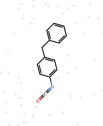 O=C=Nc1ccc(Cc2[c]cccc2)cc1